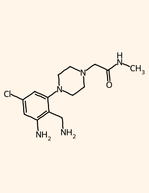 CNC(=O)CN1CCN(c2cc(Cl)cc(N)c2CN)CC1